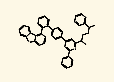 CC(CCC(C)c1cc(-c2ccc(-c3cccnc3-c3cccc4sc5ccccc5c34)cc2)nc(-c2ccccc2)n1)c1ccccc1